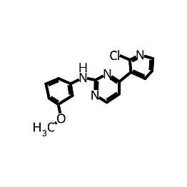 COc1cccc(Nc2nccc(-c3cccnc3Cl)n2)c1